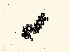 CS(=O)(=O)N1CCC2=C1C=C(n1cnc3ccc(C=C4SC(=O)NC4=O)nc31)CC2